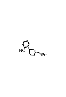 C[C](C)CN1CCCC(c2ccccc2C#N)C1